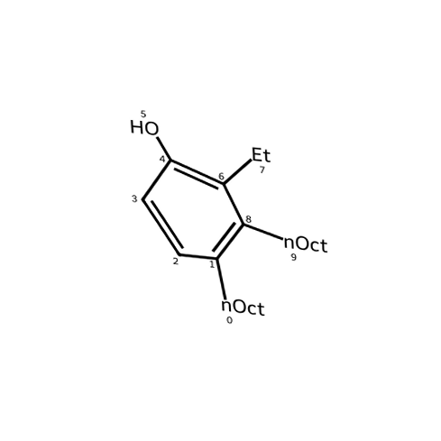 CCCCCCCCc1ccc(O)c(CC)c1CCCCCCCC